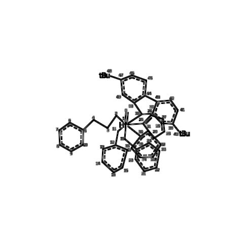 [CH2]=[Hf]([CH2]CCc1ccccc1)([CH2]c1ccccc1)([CH2]c1ccccc1)([C]1=CC=CC1)([c]1ccccc1)[CH]1c2cc(C(C)(C)C)ccc2-c2ccc(C(C)(C)C)cc21